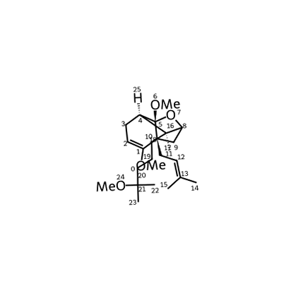 COC1=CC[C@H]2[C@]3(OC)OC(C[C@]13CC=C(C)C)[C@@]2(C)CCCC(C)(C)OC